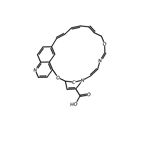 O=C(O)C1=CC2CN1/C=C\N=C\OC/C=C/C=C\C=C\c1ccc3nccc(c3c1)O2